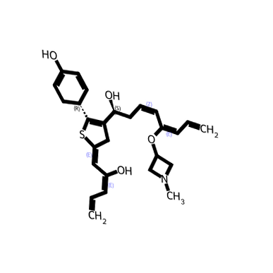 C=C/C=C(O)\C=C1/CC([C@@H](O)C/C=C\C(=C/C=C)OC2CN(C)C2)=C([C@H]2C=CC(O)=CC2)S1